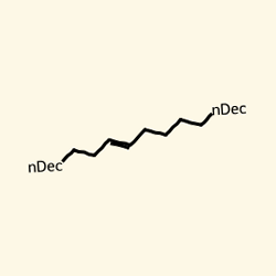 [CH2]CCCCCCCCCCCC=CCCCCCCCCCCCCC[CH2]